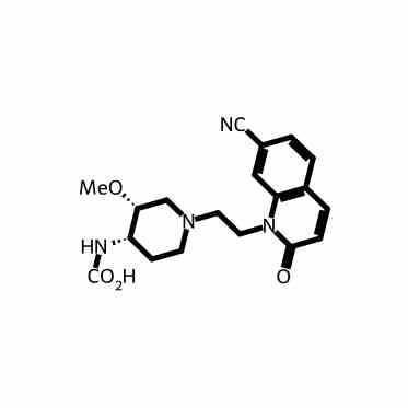 CO[C@@H]1CN(CCn2c(=O)ccc3ccc(C#N)cc32)CC[C@@H]1NC(=O)O